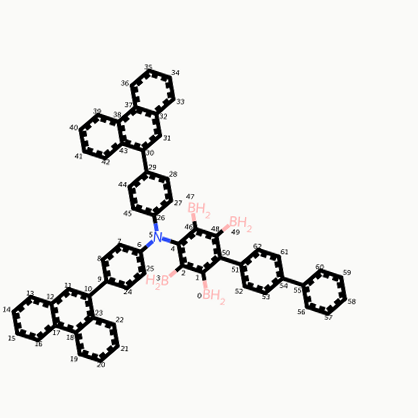 Bc1c(B)c(N(c2ccc(-c3cc4ccccc4c4ccccc34)cc2)c2ccc(-c3cc4ccccc4c4ccccc34)cc2)c(B)c(B)c1-c1ccc(-c2ccccc2)cc1